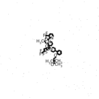 CCC[C@H]1N(C(=O)c2ncccc2C(F)(F)F)CCC[C@@]1(Oc1csc(C(F)(F)F)c1)C(=O)N1CCC(c2ccccc2OCCC(C)(C)C(C)=O)CC1